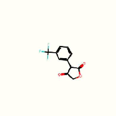 O=C1COC(=O)C1c1cccc(C(F)(F)F)c1